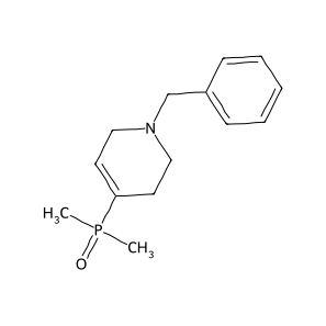 CP(C)(=O)C1=CCN(Cc2ccccc2)CC1